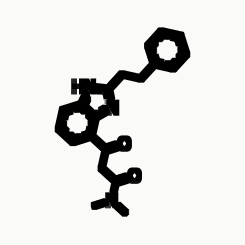 CN(C)C(=O)CC(=O)c1cccc2[nH]c(CCc3ccccc3)nc12